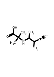 [C-]#[N+]C(C)C(C)NC(C)(C)C(=O)O